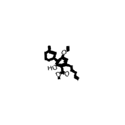 C=COc1cc(CCCCC)c(C(=O)OC)c(O)c1C1C=C(C)CCC1